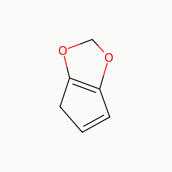 C1=CC2=C(C1)OCO2